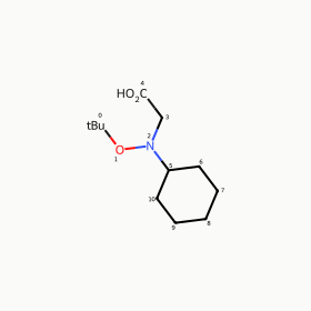 CC(C)(C)ON(CC(=O)O)C1CCCCC1